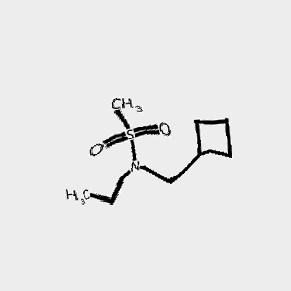 CCN(CC1CCC1)S(C)(=O)=O